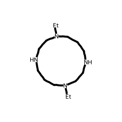 CCN1CCCNCCN(CC)CCCNCC1